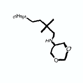 CCCCCC[CH]CCC(C)(C)CNC1COCOC1